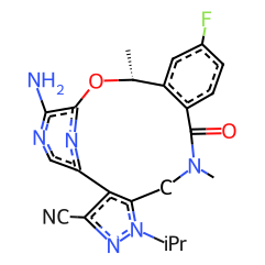 CC(C)n1nc(C#N)c2c1CN(C)C(=O)c1ccc(F)cc1[C@@H](C)Oc1nc-2cnc1N